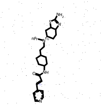 CCCN(CCC1CCC(NC(=O)/C=C/c2ccncc2)CC1)[C@H]1CCC2N=C(N)SC2C1